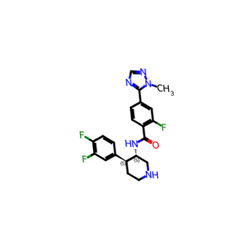 Cn1ncnc1-c1ccc(C(=O)N[C@@H]2CNCC[C@H]2c2ccc(F)c(F)c2)c(F)c1